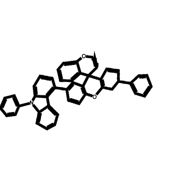 C1=CC(c2ccccc2)CC2=C1C1(c3cc(-c4cccc5c4c4ccccc4n5-c4ccccc4)ccc3O2)c2ccccc2Oc2ccccc21